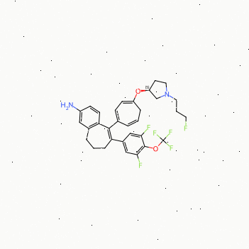 Nc1ccc2c(c1)CCCC(c1cc(F)c(OC(F)(F)F)c(F)c1)=C2C1=CC=C(O[C@H]2CCN(CCCF)C2)CC=C1